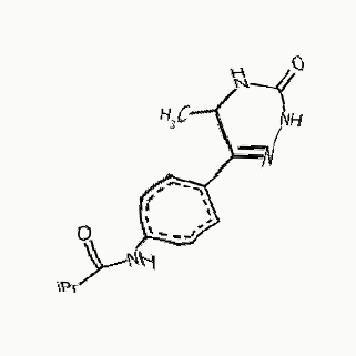 CC(C)C(=O)Nc1ccc(C2=NNC(=O)NC2C)cc1